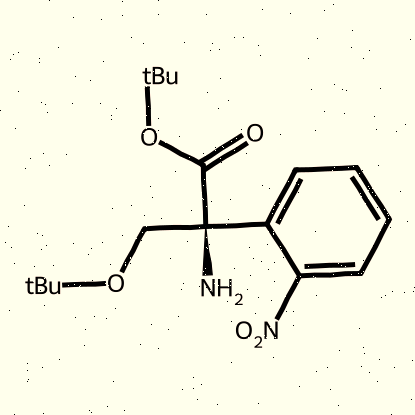 CC(C)(C)OC[C@](N)(C(=O)OC(C)(C)C)c1ccccc1[N+](=O)[O-]